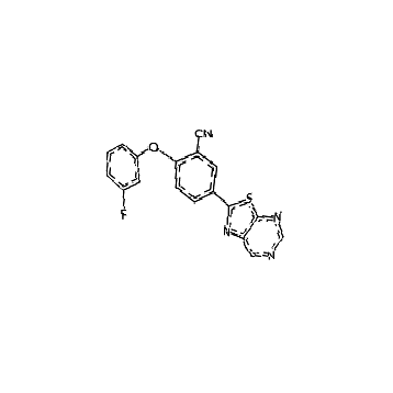 N#Cc1cc(-c2nc3cncnc3s2)ccc1Oc1cccc(F)c1